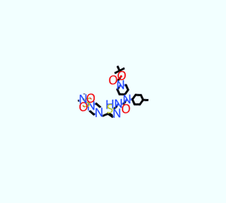 CC1CCC(N(C(=O)Nc2ncc(CN3CCN(S(=O)(=O)N(C)C)CC3)s2)C2CCN(C(=O)OC(C)(C)C)CC2)CC1